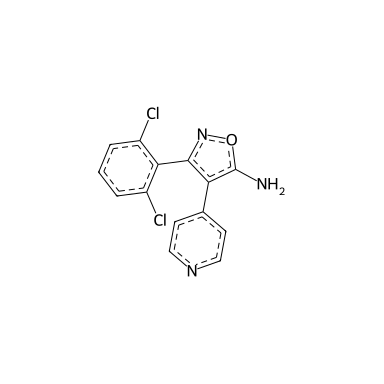 Nc1onc(-c2c(Cl)cccc2Cl)c1-c1ccncc1